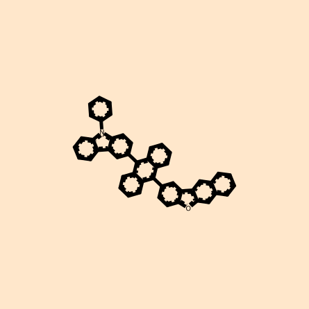 c1ccc(-n2c3ccccc3c3cc(-c4c5ccccc5c(-c5ccc6oc7cc8ccccc8cc7c6c5)c5ccccc45)ccc32)cc1